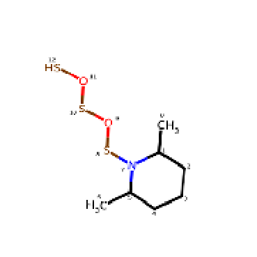 CC1CCCC(C)N1SOSOS